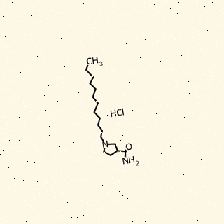 CCCCCCCCCCCCN1CCC(C(N)=O)C1.Cl